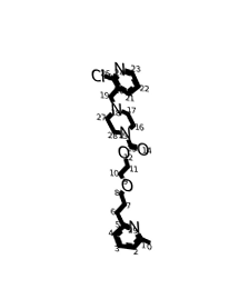 Cc1cccc(CCCOCCOC(=O)N2CCN(Cc3cccnc3Cl)CC2)n1